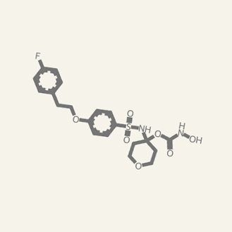 O=C(NO)OC1(NS(=O)(=O)c2ccc(OCCc3ccc(F)cc3)cc2)CCOCC1